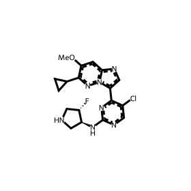 COc1cc2ncc(-c3nc(N[C@H]4CNC[C@@H]4F)ncc3Cl)n2nc1C1CC1